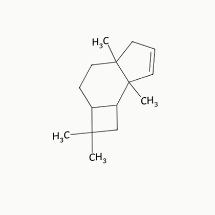 CC1(C)CC2C1CCC1(C)CC=CC21C